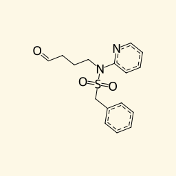 O=CCCCN(c1ccccn1)S(=O)(=O)Cc1ccccc1